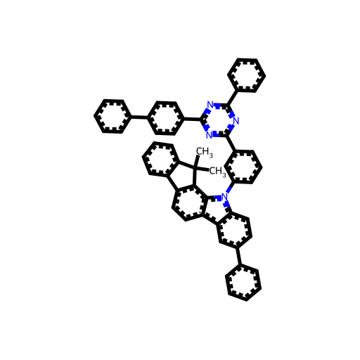 CC1(C)c2ccccc2-c2ccc3c4cc(-c5ccccc5)ccc4n(-c4cccc(-c5nc(-c6ccccc6)nc(-c6ccc(-c7ccccc7)cc6)n5)c4)c3c21